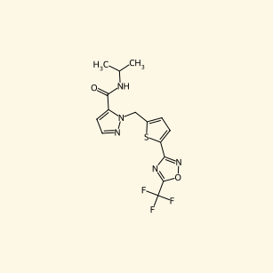 CC(C)NC(=O)c1ccnn1Cc1ccc(-c2noc(C(F)(F)F)n2)s1